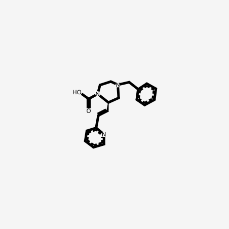 O=C(O)N1CCN(Cc2ccccc2)C[C@H]1C=Cc1ccccn1